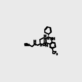 CC(C)(C)CNC[C@H]1CC[C@@H]2[C@H](O1)c1cc(C(F)(F)F)ccc1N[C@H]2C1C=CC=CC1